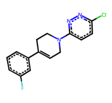 Fc1cccc(C2=CCN(c3ccc(Cl)nn3)CC2)c1